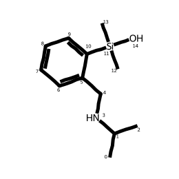 CC(C)NCc1ccccc1[Si](C)(C)O